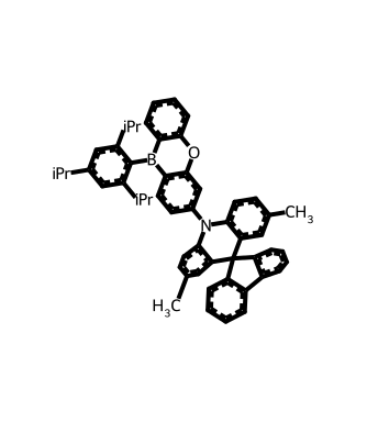 Cc1ccc2c(c1)C1(c3ccccc3-c3ccccc31)c1cc(C)ccc1N2c1ccc2c(c1)Oc1ccccc1B2c1c(C(C)C)cc(C(C)C)cc1C(C)C